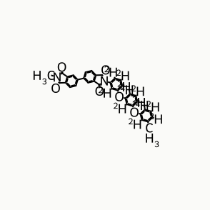 [2H]c1c([2H])c(C)c([2H])c(Oc2c([2H])c([2H])c([2H])c(Oc3c([2H])c([2H])c([2H])c(N4C(=O)c5ccc(-c6ccc7c(c6)C(=O)N(C)C7=O)cc5C4=O)c3[2H])c2[2H])c1[2H]